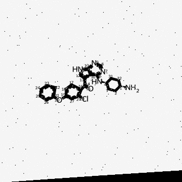 N[C@H]1CC[C@@H](Nc2ncnc3[nH]cc(C(=O)c4ccc(Oc5ccccc5)cc4Cl)c23)CC1